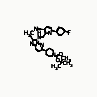 CCc1nc2ccc(C3CCN(C(=O)OC(C)(C)C)CC3)nn2c1NCc1nc(-c2ccc(F)cc2)ccc1C#N